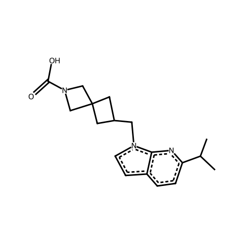 CC(C)c1ccc2ccn(CC3CC4(C3)CN(C(=O)O)C4)c2n1